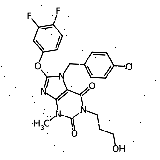 Cn1c(=O)n(CCCO)c(=O)c2c1nc(Oc1ccc(F)c(F)c1)n2Cc1ccc(Cl)cc1